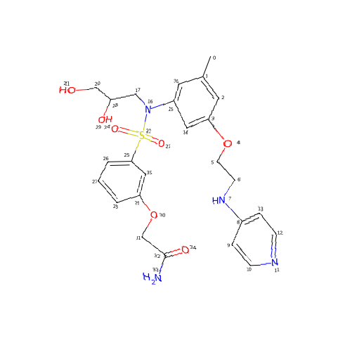 Cc1cc(OCCNc2ccncc2)cc(N(CC(O)CO)S(=O)(=O)c2cccc(OCC(N)=O)c2)c1